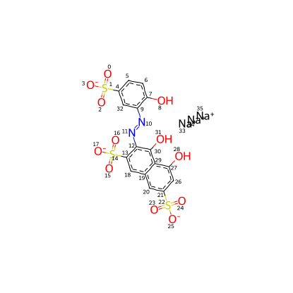 O=S(=O)([O-])c1ccc(O)c(N=Nc2c(S(=O)(=O)[O-])cc3cc(S(=O)(=O)[O-])cc(O)c3c2O)c1.[Na+].[Na+].[Na+]